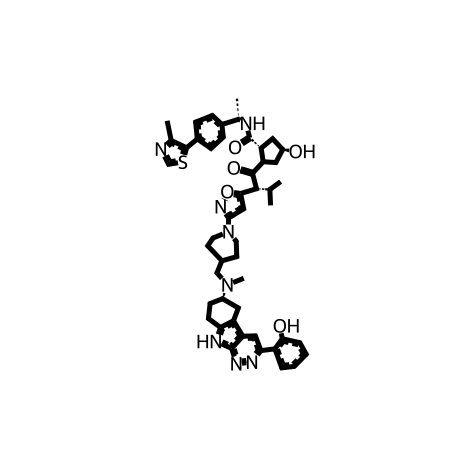 Cc1ncsc1-c1ccc([C@H](C)NC(=O)[C@@H]2C[C@@H](O)CC2C(=O)[C@@H](c2cc(N3CCC(CN(C)[C@H]4CCc5[nH]c6nnc(-c7ccccc7O)cc6c5C4)CC3)no2)C(C)C)cc1